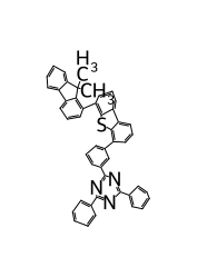 CC1(C)c2ccccc2-c2cccc(-c3cccc4c3sc3c(-c5cccc(-c6nc(-c7ccccc7)nc(-c7ccccc7)n6)c5)cccc34)c21